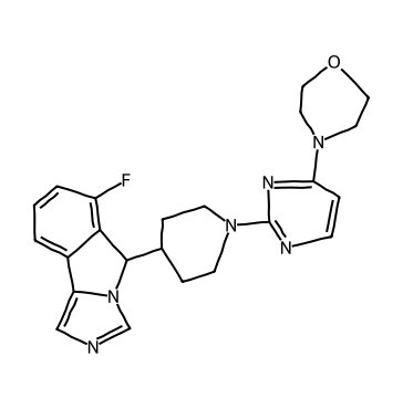 Fc1cccc2c1C(C1CCN(c3nccc(N4CCOCC4)n3)CC1)n1cncc1-2